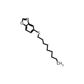 CCCCCCCCCSc1ccc2ocnc2c1